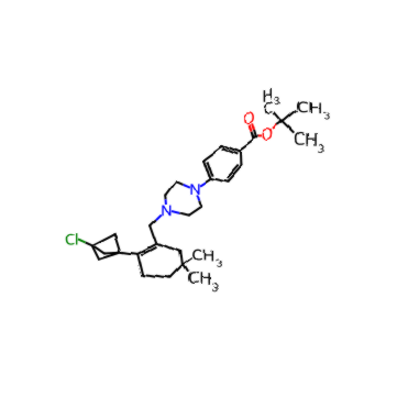 CC1(C)CCC(C23CC(Cl)(C2)C3)=C(CN2CCN(c3ccc(C(=O)OC(C)(C)C)cc3)CC2)C1